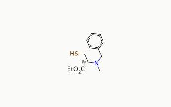 CCOC(=O)[C@H](CS)N(C)Cc1ccccc1